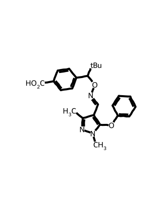 Cc1nn(C)c(Oc2ccccc2)c1C=NOC(c1ccc(C(=O)O)cc1)C(C)(C)C